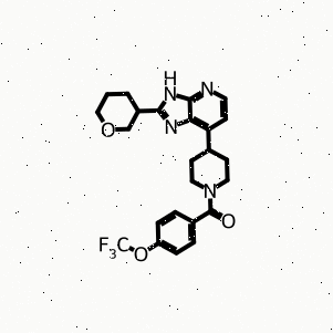 O=C(c1ccc(OC(F)(F)F)cc1)N1CCC(c2ccnc3[nH]c(C4CCCOC4)nc23)CC1